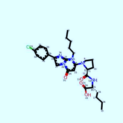 CCCCCn1c(N2CCC[C@H]2C(=O)N[C@H](CCCC)C(=O)O)cc(=O)n2cc(-c3ccc(Cl)cc3)nc12